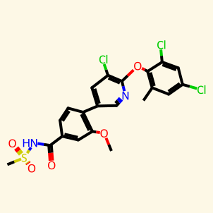 COc1cc(C(=O)NS(C)(=O)=O)ccc1-c1cnc(Oc2c(C)cc(Cl)cc2Cl)c(Cl)c1